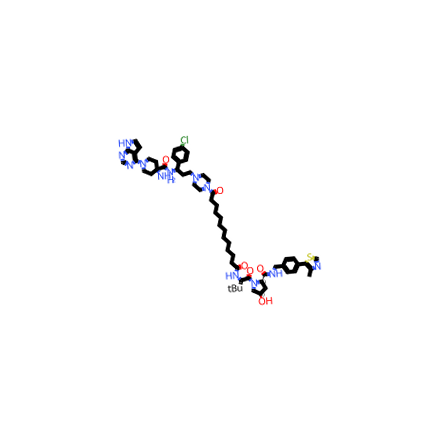 Cc1ncsc1-c1ccc(CNC(=O)[C@@H]2C[C@@H](O)CN2C(=O)C(NC(=O)CCCCCCCCCCCC(=O)N2CCN(CCC(NC(=O)C3(N)CCN(c4ncnc5[nH]ccc45)CC3)c3ccc(Cl)cc3)CC2)C(C)(C)C)cc1